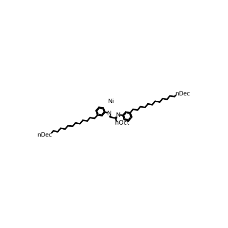 CCCCCCCCCCCCCCCCCCCCCCc1cccc(N=CC(CCCCCCCC)=Nc2cccc(CCCCCCCCCCCCCCCCCCCCCC)c2)c1.[Ni]